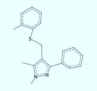 Cc1ccccc1SCc1c(-c2ccccc2)nn(C)c1C